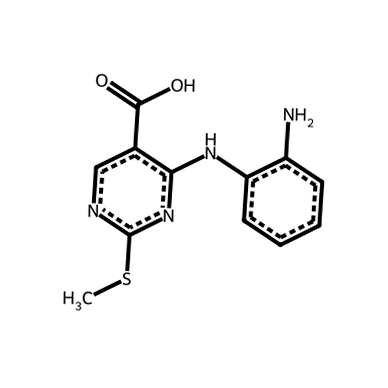 CSc1ncc(C(=O)O)c(Nc2ccccc2N)n1